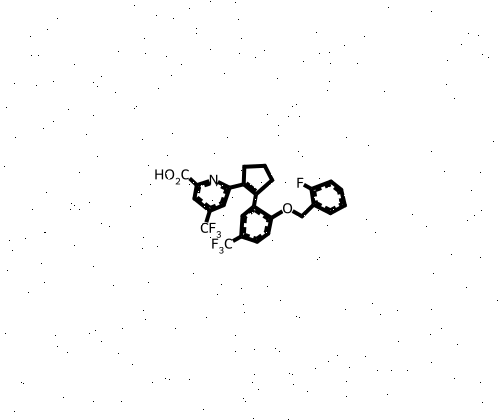 O=C(O)c1cc(C(F)(F)F)cc(C2=C(c3cc(C(F)(F)F)ccc3OCc3ccccc3F)CCC2)n1